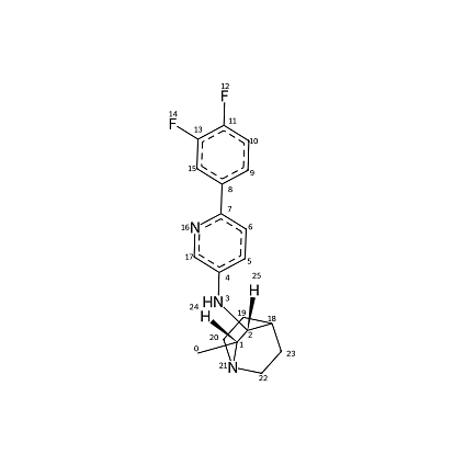 C[C@@H]1[C@H](Nc2ccc(-c3ccc(F)c(F)c3)nc2)C2CCN1CC2